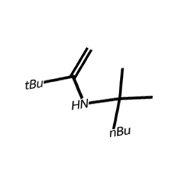 C=C(NC(C)(C)CCCC)C(C)(C)C